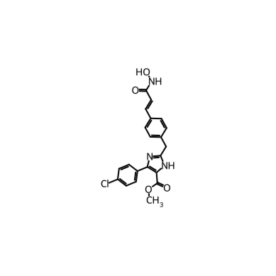 COC(=O)c1[nH]c(Cc2ccc(/C=C/C(=O)NO)cc2)nc1-c1ccc(Cl)cc1